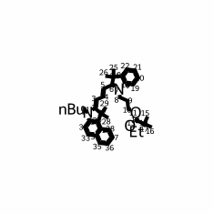 CCCCN1C(=CC=CC2=[N+](CCCOC(=O)C(C)(C)CC)c3ccccc3C2(C)C)C(C)(C)c2c1ccc1ccccc21